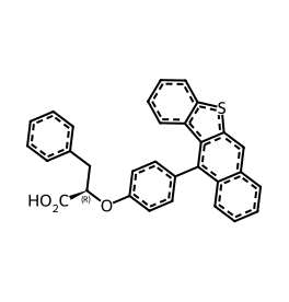 O=C(O)[C@@H](Cc1ccccc1)Oc1ccc(-c2c3ccccc3cc3sc4ccccc4c23)cc1